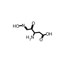 NC(CC(=O)O)C(=O)C=NO